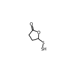 O=C1CCC(SS)O1